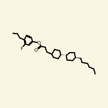 CCCCCC[C@H]1CC[C@H](C2CCC(CCC(=O)Oc3ccc(CCC)c(F)c3)CC2)CC1